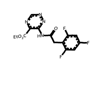 CCOC(=O)c1ncnnc1NC(=O)Cc1c(F)cc(F)cc1F